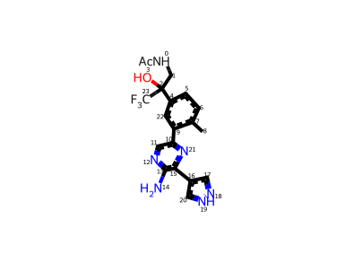 CC(=O)NCC(O)(c1ccc(C)c(-c2cnc(N)c(-c3cn[nH]c3)n2)c1)C(F)(F)F